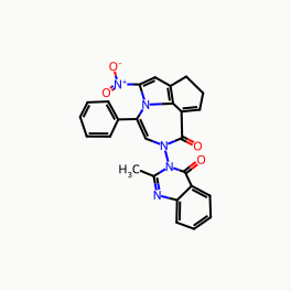 Cc1nc2ccccc2c(=O)n1N1C=C(c2ccccc2)n2c([N+](=O)[O-])cc3c2C(=CCC3)C1=O